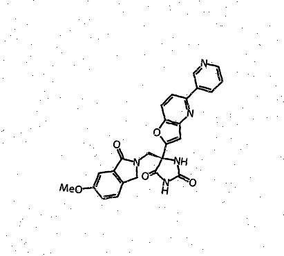 COc1ccc2c(c1)C(=O)N(C[C@@]1(c3cc4nc(-c5cccnc5)ccc4o3)NC(=O)NC1=O)C2